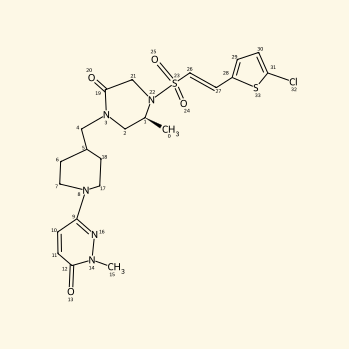 C[C@H]1CN(CC2CCN(c3ccc(=O)n(C)n3)CC2)C(=O)CN1S(=O)(=O)/C=C/c1ccc(Cl)s1